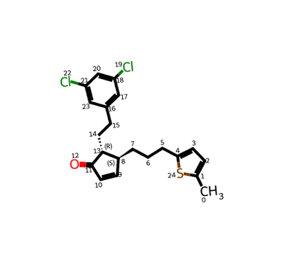 Cc1ccc(CCC[C@H]2C=CC(=O)[C@@H]2CCc2cc(Cl)cc(Cl)c2)s1